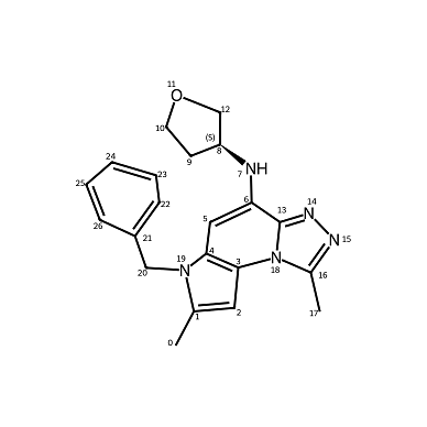 Cc1cc2c(cc(N[C@H]3CCOC3)c3nnc(C)n32)n1Cc1ccccc1